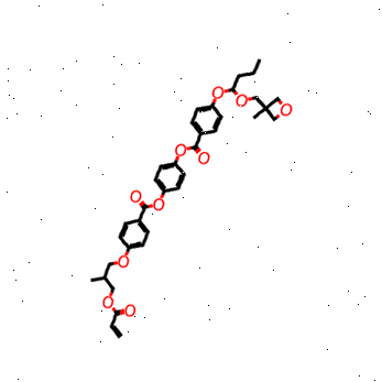 C=CC(=O)OCC(C)COc1ccc(C(=O)Oc2ccc(OC(=O)c3ccc(OC(CCC)OCC4(C)COC4)cc3)cc2)cc1